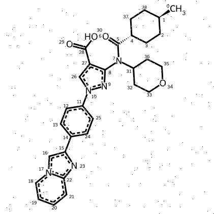 C[C@H]1CC[C@H](C(=O)N(c2nn(-c3ccc(-c4cn5ccccc5n4)cc3)cc2C(=O)O)C2CCOCC2)CC1